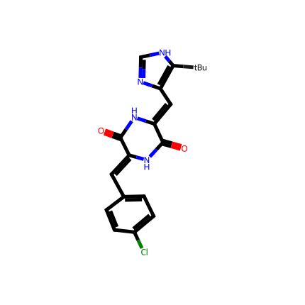 CC(C)(C)c1[nH]cnc1/C=c1\[nH]c(=O)/c(=C/c2ccc(Cl)cc2)[nH]c1=O